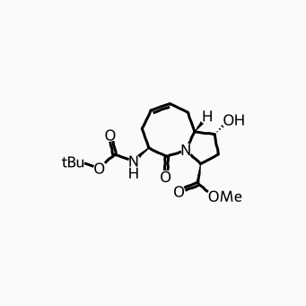 COC(=O)[C@@H]1C[C@@H](O)[C@H]2C/C=C\C[C@H](NC(=O)OC(C)(C)C)C(=O)N21